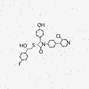 O=C1[C@H](SC[C@@H](O)c2ccc(F)cc2)[C@@H](c2ccc(O)cc2)N1c1ccc(-c2ccncc2Cl)cc1